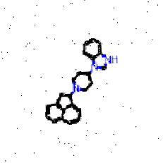 [CH]1Nc2ccccc2N1C1CCN(C2Cc3cccc4cccc2c34)CC1